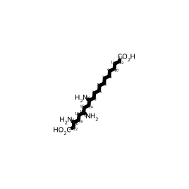 NC(CCCCCCCCCCCC(=O)O)CCC(N)CCC(N)CC(=O)O